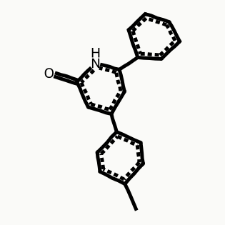 Cc1ccc(-c2cc(-c3ccccc3)[nH]c(=O)c2)cc1